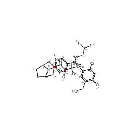 CC(C)(Oc1cc(CO)c(Cl)cc1Cl)C(=O)NC1CC2CCC(C1)N2c1ccc(C(=O)NCC(F)F)cn1